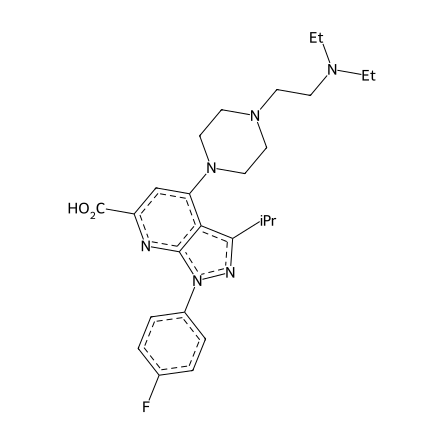 CCN(CC)CCN1CCN(c2cc(C(=O)O)nc3c2c(C(C)C)nn3-c2ccc(F)cc2)CC1